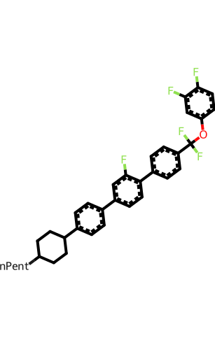 CCCCCC1CCC(c2ccc(-c3ccc(-c4ccc(C(F)(F)Oc5ccc(F)c(F)c5)cc4)c(F)c3)cc2)CC1